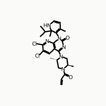 C=CC(=O)N1C[C@H](C)N(c2nc(=O)n(C3=C(C)C=CNC3(C)C(C)C)c3nc(Cl)c(Cl)cc23)C[C@H]1C